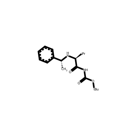 CC(C)[C@H](N[C@H](C)c1ccccc1)C(=O)NC(=O)OC(C)(C)C